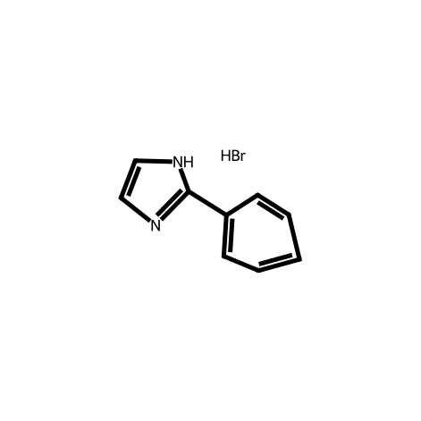 Br.c1ccc(-c2ncc[nH]2)cc1